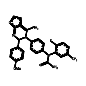 COc1ccc(C2N=c3occc3=C(N)N2c2ccc(N(C(N)=O)c3cc(C(F)(F)F)ccc3F)cc2)cc1